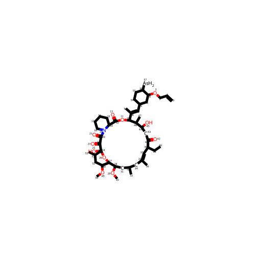 C=CCOC1CC(C=C(C)C2OC(=O)C3CCCCN3C(=O)C(=O)C3(O)OC(C(OC)CC(C)C/C(C)=C/C(CC)C(=O)CC(O)C2C)C(OC)CC3C)CCC1[AsH2]